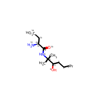 CC(C)CCC(O)C(C)(C)NC(=O)[C@@H](N)CC(=O)O